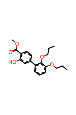 CCCOc1cccc(-c2ccc(C(=O)OC)c(O)c2)c1OCCC